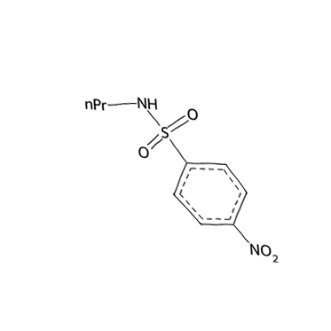 [CH2]CCNS(=O)(=O)c1ccc([N+](=O)[O-])cc1